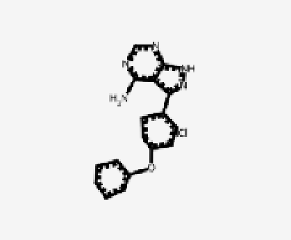 Cl.Nc1ncnc2[nH]nc(-c3ccc(Oc4ccccc4)cc3)c12